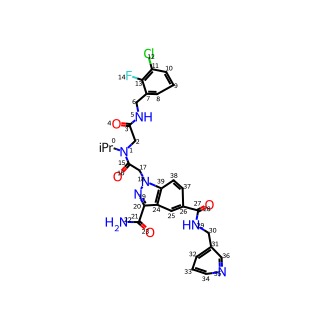 CC(C)N(CC(=O)NCc1cccc(Cl)c1F)C(=O)Cn1nc(C(N)=O)c2cc(C(=O)NCc3cccnc3)ccc21